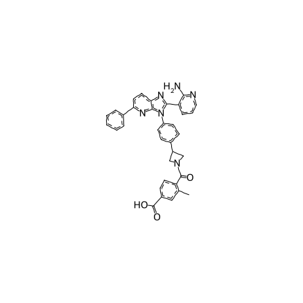 Cc1cc(C(=O)O)ccc1C(=O)N1CC(c2ccc(-n3c(-c4cccnc4N)nc4ccc(-c5ccccc5)nc43)cc2)C1